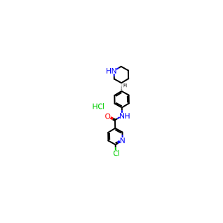 Cl.O=C(Nc1ccc([C@H]2CCCNC2)cc1)c1ccc(Cl)nc1